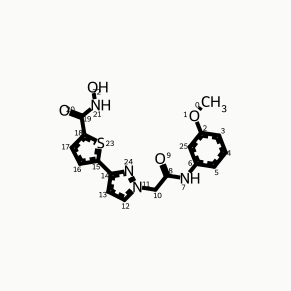 COc1cccc(NC(=O)Cn2ccc(-c3ccc(C(=O)NO)s3)n2)c1